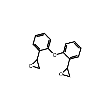 c1ccc(C2CO2)c(Oc2ccccc2C2CO2)c1